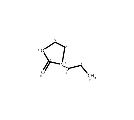 CCON1CCOC1=O